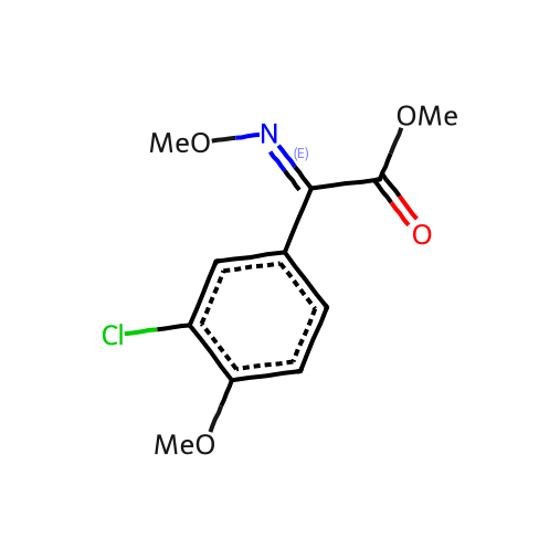 CO/N=C(/C(=O)OC)c1ccc(OC)c(Cl)c1